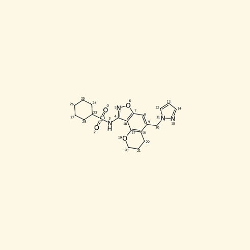 O=S(=O)(Nc1noc2cc(Cn3cccn3)c3c(c12)OCCC3)C1CCCCC1